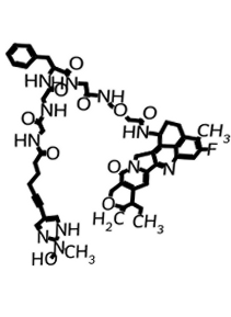 C=C1OCc2c(cc3n(c2=O)Cc2c-3nc3cc(F)c(C)c4c3c2C(NC(=O)COCNC(=O)CNC(=O)C(Cc2ccccc2)NC(=O)CNC(=O)CNC(=O)CCCC#CC2=CNC(N(C)O)N=C2)CC4)C1CC